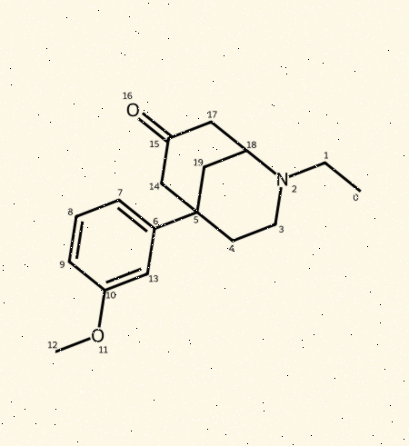 CCN1CCC2(c3cccc(OC)c3)CC(=O)CC1C2